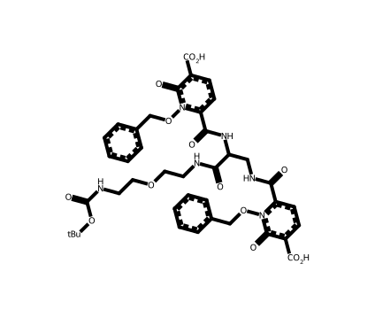 CC(C)(C)OC(=O)NCCOCCNC(=O)C(CNC(=O)c1ccc(C(=O)O)c(=O)n1OCc1ccccc1)NC(=O)c1ccc(C(=O)O)c(=O)n1OCc1ccccc1